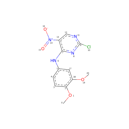 COc1ccc(Nc2nc(Cl)ncc2[N+](=O)[O-])cc1OC